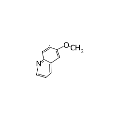 COc1[c]cc2ncccc2c1